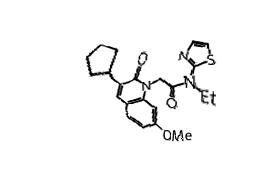 CCN(C(=O)Cn1c(=O)c(C2CCCC2)cc2ccc(OC)cc21)c1nccs1